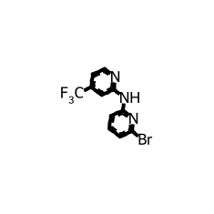 FC(F)(F)c1ccnc(Nc2cccc(Br)n2)c1